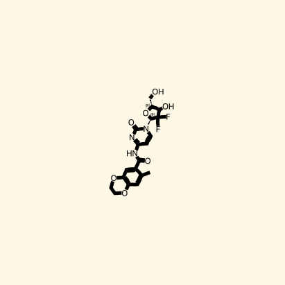 Cc1cc2c(cc1C(=O)Nc1ccn([C@@H]3O[C@H](CO)C(O)C3(F)F)c(=O)n1)OCCO2